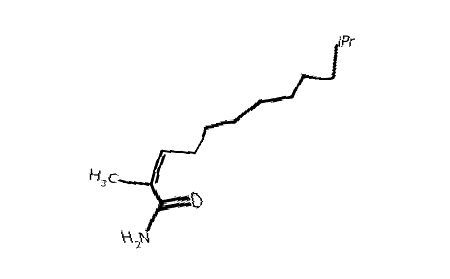 CC(=CCCCCCCCC(C)C)C(N)=O